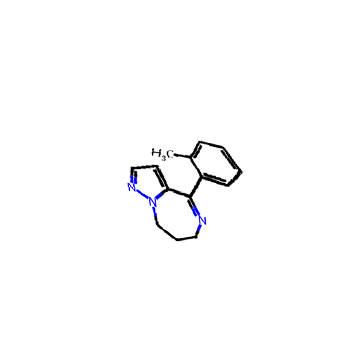 Cc1ccccc1C1=NCCCn2nccc21